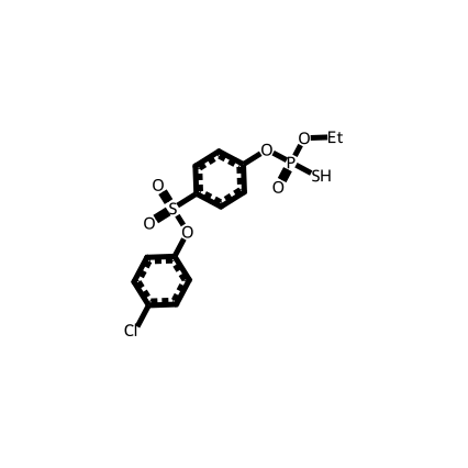 CCOP(=O)(S)Oc1ccc(S(=O)(=O)Oc2ccc(Cl)cc2)cc1